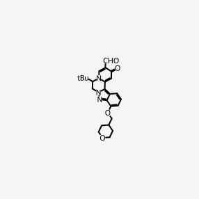 CC(C)(C)C1Cn2nc3c(OCC4CCOCC4)cccc3c2-c2cc(=O)c(C=O)cn21